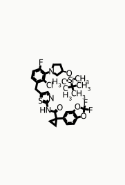 CC(C)(C)[Si](C)(C)O[C@@H]1CCN(c2c(F)ccc(Cc3cnc(NC(=O)C4(c5ccc6c(c5)OC(F)(F)O6)CC4)s3)c2Cl)C1